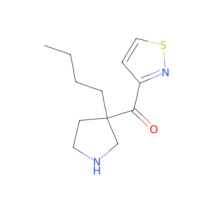 CCCCC1(C(=O)c2ccsn2)CCNC1